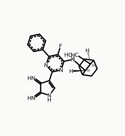 N=C1NC=C(c2nc(N[C@H]3C4CCC(CC4)[C@@H]3C(=O)O)c(F)c(-c3ccccc3)n2)C1=N